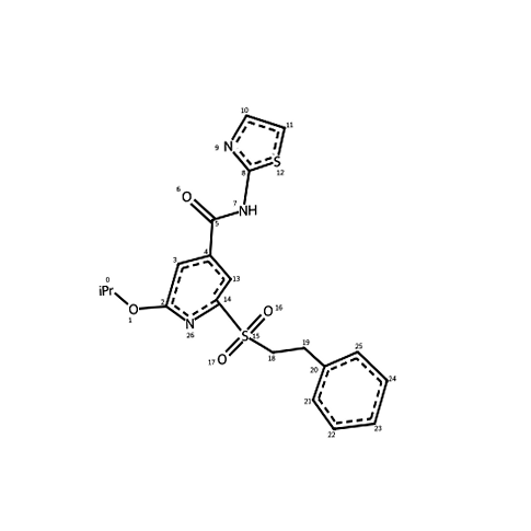 CC(C)Oc1cc(C(=O)Nc2nccs2)cc(S(=O)(=O)CCc2ccccc2)n1